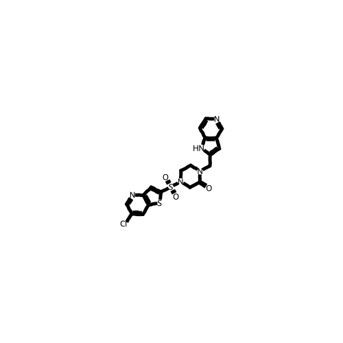 O=C1CN(S(=O)(=O)c2cc3ncc(Cl)cc3s2)CCN1Cc1cc2cnccc2[nH]1